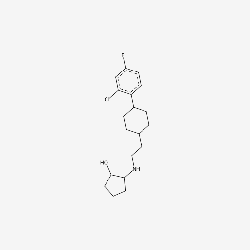 OC1CCCC1NCCC1CCC(c2ccc(F)cc2Cl)CC1